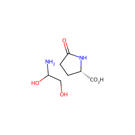 NC(O)CO.O=C1CC[C@@H](C(=O)O)N1